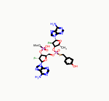 COP(=O)(O)O[C@H]1[C@@H](F)[C@H](n2cnc3c(N)ncnc32)O[C@@H]1CO[P@@](=O)(O[C@H]1[C@@H](F)[C@H](n2cnc3c(N)ncnc32)O[C@@H]1C)SCc1ccc(O)cc1